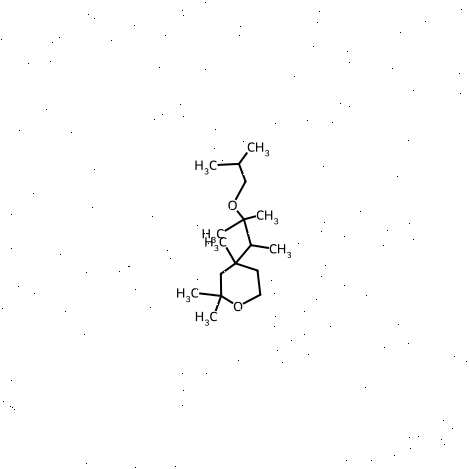 CC(C)COC(C)(C)C(C)C1(C)CCOC(C)(C)C1